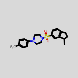 CC1CCc2ccc(S(=O)(=O)N3CCN(c4ccc(C(F)(F)F)cc4)CC3)cc21